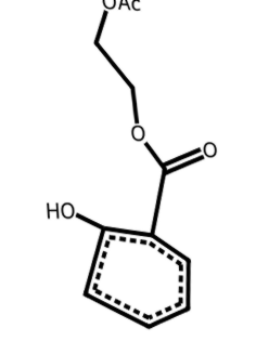 CC(=O)OCCOC(=O)c1ccccc1O